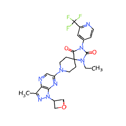 CCN1C(=O)N(c2ccnc(C(F)(F)F)c2)C(=O)C12CCN(c1cnc3c(C)nn(C4COC4)c3n1)CC2